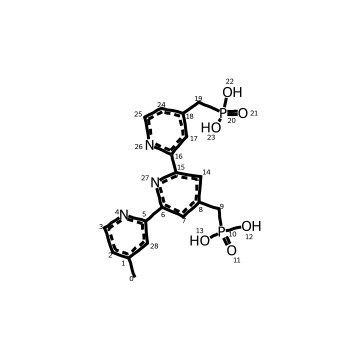 Cc1ccnc(-c2cc(CP(=O)(O)O)cc(-c3cc(CP(=O)(O)O)ccn3)n2)c1